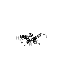 Cc1cc(-c2nc(C(N)=O)c(Nc3ccc(N4CCC(N5CCN(C)CC5)CC4)c(OC(F)(F)F)c3)nc2NC2CCOC3(CC3)C2)n[nH]1